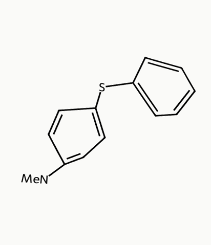 CNc1ccc(Sc2ccccc2)cc1